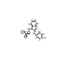 Cc1ccc(CC2=Cc3ccccc3C2COC(=O)Cl)cc1